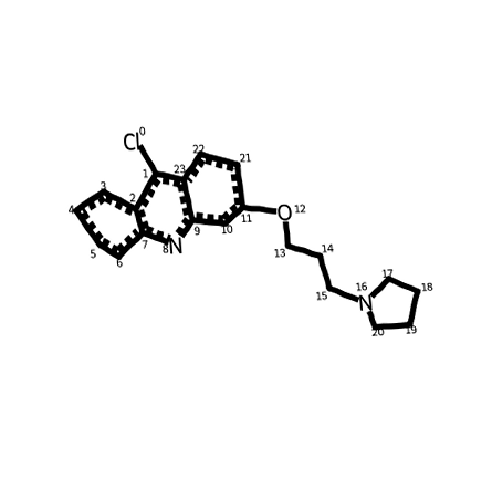 Clc1c2ccccc2nc2cc(OCCCN3CCCC3)ccc12